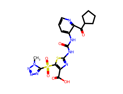 Cn1nnnc1S(=O)(=O)c1sc(NC(=O)Nc2cccnc2C(=O)C2CCCC2)nc1C(=O)O